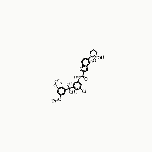 CC(C)Oc1cc(OC(F)(F)F)cc(C(C)(C)c2cc(Cl)cc(NC(=O)c3cc4cc(N5CCCS5(O)O)ccc4s3)c2)c1